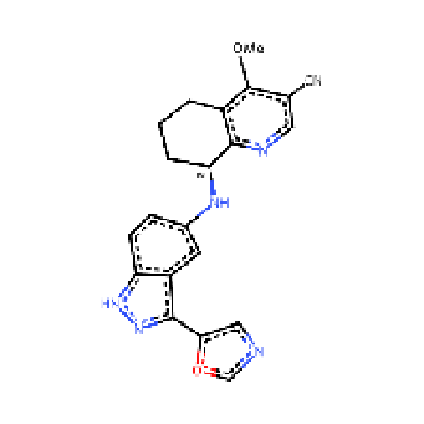 COc1c(C#N)cnc2c1CCC[C@@H]2Nc1ccc2[nH]nc(-c3cnco3)c2c1